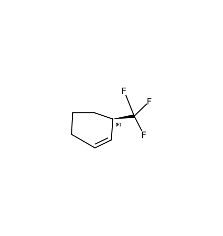 FC(F)(F)[C@H]1C=CCCC1